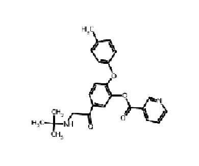 Cc1ccc(Oc2ccc(C(=O)CNC(C)(C)C)cc2OC(=O)c2cccnc2)cc1